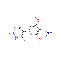 COc1cc(-c2cc(I)c(=O)n(C)c2C)cc(OC)c1CN(C)C